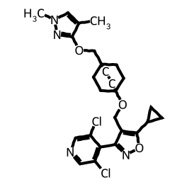 Cc1cn(C)nc1OCC12CCC(OCc3c(-c4c(Cl)cncc4Cl)noc3C3CC3)(CC1)CC2